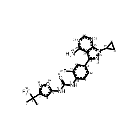 CC(C)(c1cc(NC(=O)Nc2ccc(-c3nn(C4CC4)c4ncnc(N)c34)cc2F)on1)C(F)(F)F